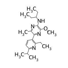 CCc1nc(C(C)C)ccc1-c1nc(OC)c(NC(CC)CC)nc1C